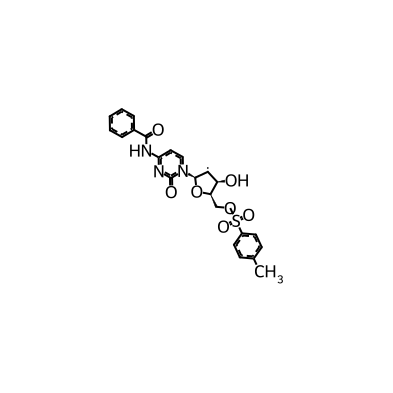 Cc1ccc(S(=O)(=O)OC[C@H]2O[C@@H](n3ccc(NC(=O)c4ccccc4)nc3=O)[CH][C@H]2O)cc1